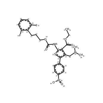 CCOC(=O)c1c(NC(=O)OCCCc2c(F)cccc2F)sc(-c2ccc([N+](=O)[O-])cc2)c1CN(C)C